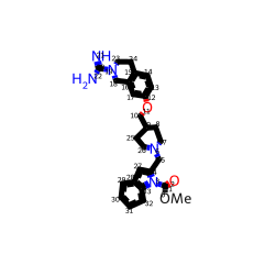 COC(=O)n1c(CN2CCC(COc3ccc4c(c3)CN(C(=N)N)CC4)CC2)cc2ccccc21